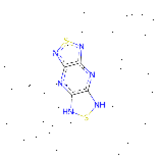 n1snc2nc3c(nc12)NSN3